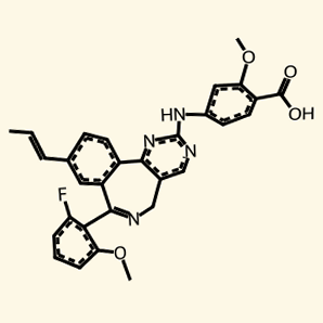 C/C=C/c1ccc2c(c1)C(c1c(F)cccc1OC)=NCc1cnc(Nc3ccc(C(=O)O)c(OC)c3)nc1-2